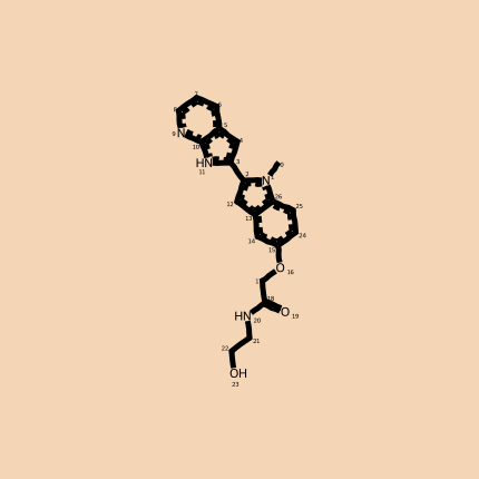 Cn1c(-c2cc3cccnc3[nH]2)cc2cc(OCC(=O)NCCO)ccc21